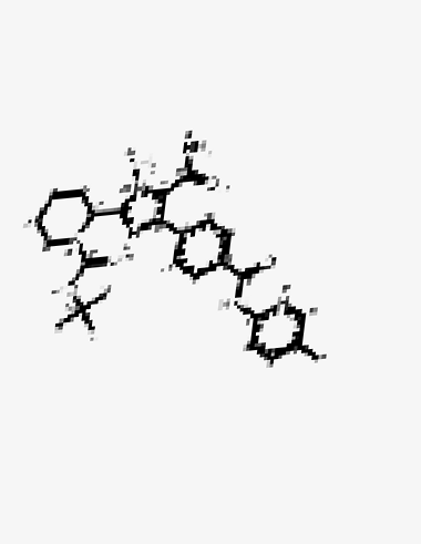 Cc1ccc(NC(=O)c2ccc(-c3nc(C4CCCCN4C(=O)OC(C)(C)C)n(N)c3C(N)=O)cc2)nc1